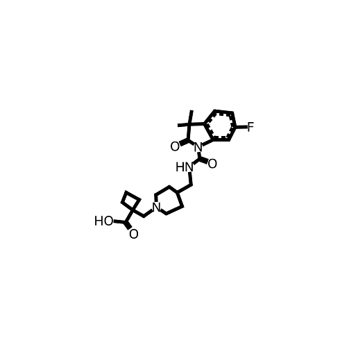 CC1(C)C(=O)N(C(=O)NCC2CCN(CC3(C(=O)O)CCC3)CC2)c2cc(F)ccc21